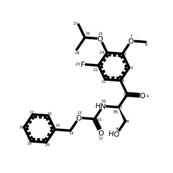 COc1cc(C(=O)[C@@H](CO)NC(=O)OCc2ccccc2)cc(F)c1OC(C)C